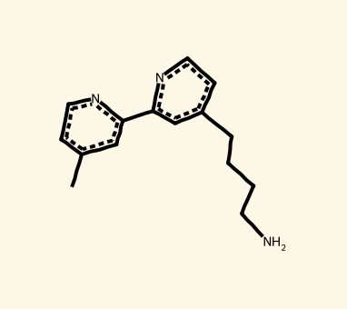 Cc1ccnc(-c2cc(CCCCN)ccn2)c1